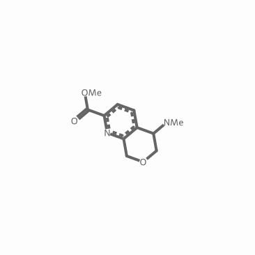 CNC1COCc2nc(C(=O)OC)ccc21